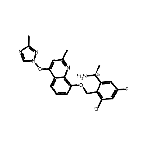 Cc1cc(On2cnc(C)n2)c2cccc(OCc3c(Cl)cc(F)cc3[C@H](C)N)c2n1